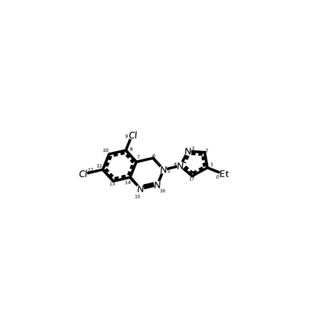 CCc1cnn(N2Cc3c(Cl)cc(Cl)cc3N=N2)c1